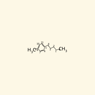 CCCC[CH]c1ccc(C)cc1